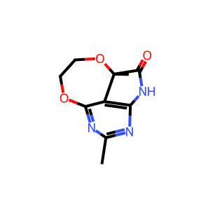 Cc1nc2c3c(n1)OCCOC3(C)C(=O)N2